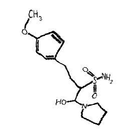 COc1ccc(CCC(C(O)N2CCCC2)S(N)(=O)=O)cc1